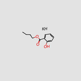 CCCCOC(=O)c1ccccc1O.[KH]